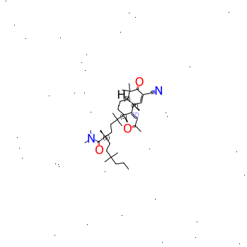 CCCC(C)(C)CC[C@@](C)(CCC(C)(C)[C@]1(C)CC[C@H]2C(C)(C)C(=O)C(C#N)=C[C@]2(C)/C1=C/C(C)=O)C(=O)N(C)C